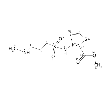 CNCCCS(=O)(=O)Nc1ccsc1C(=O)OC